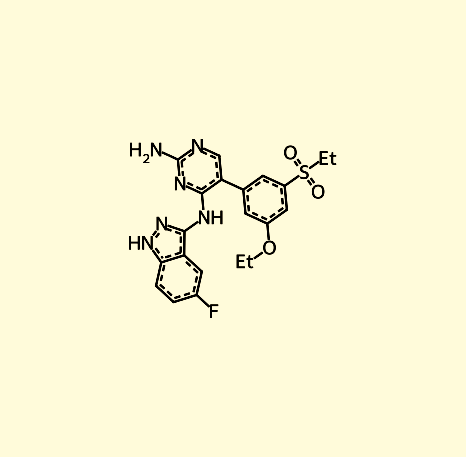 CCOc1cc(-c2cnc(N)nc2Nc2n[nH]c3ccc(F)cc23)cc(S(=O)(=O)CC)c1